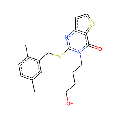 Cc1ccc(C)c(CSc2nc3ccsc3c(=O)n2CCCCO)c1